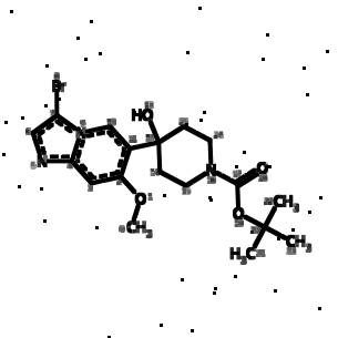 COc1cc2ncc(Br)n2cc1C1(O)CCN(C(=O)OC(C)(C)C)CC1